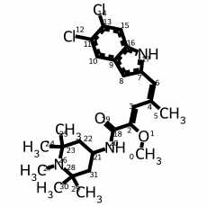 COC(=CC(C)=Cc1cc2cc(Cl)c(Cl)cc2[nH]1)C(=O)NC1CC(C)(C)N(C)C(C)(C)C1